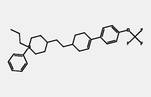 CCC[Si]1(c2ccccc2)CCC(CCC2CC=C(c3ccc(OC(F)(F)F)cc3)CC2)CC1